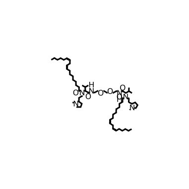 CCCCC/C=C\C/C=C\CCCCCCCC(=O)N(CCC1CCCN1C)C(C(=O)NCCOCCOCCNC(=O)C(C(C)C)N(CCC1CCCN1C)C(=O)CCCCCCC/C=C\C/C=C\CCCCC)C(C)C